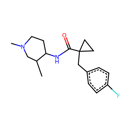 CC1CN(C)CCC1NC(=O)C1(Cc2ccc(F)cc2)CC1